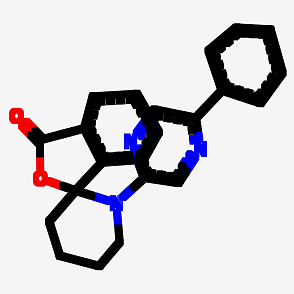 O=C1OC2(CCCCN2c2cnc(-c3ccccc3)cn2)c2ccccc21